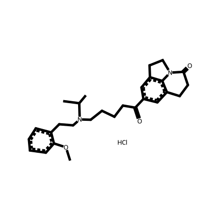 COc1ccccc1CCN(CCCCC(=O)c1cc2c3c(c1)CCN3C(=O)CC2)C(C)C.Cl